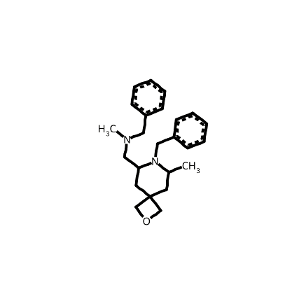 CC1CC2(COC2)CC(CN(C)Cc2ccccc2)N1Cc1ccccc1